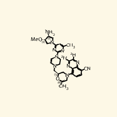 [2H]c1nc2c(C#N)ccc(N3C[C@H](CN4CCN(c5nc(C)cc(N6C[C@H](OC)[C@@H](N)C6)n5)CC4)O[C@H](C)C3)c2nc1[2H]